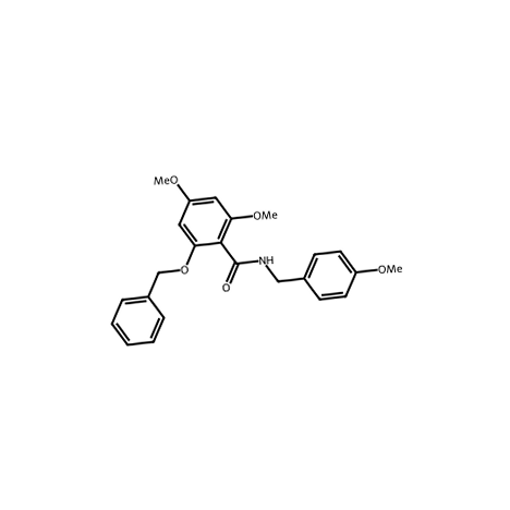 COc1ccc(CNC(=O)c2c(OC)cc(OC)cc2OCc2ccccc2)cc1